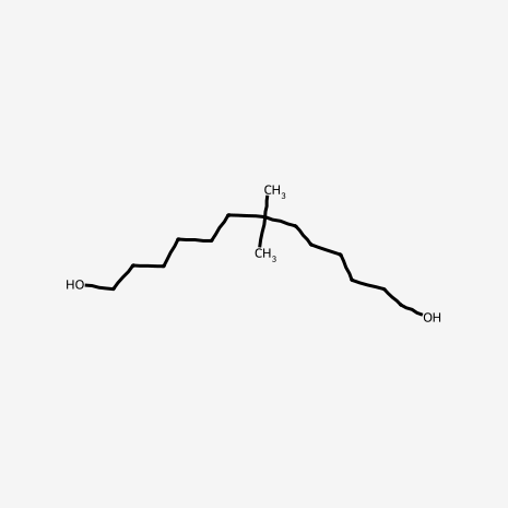 CC(C)(CCCCCCO)CCCCCCO